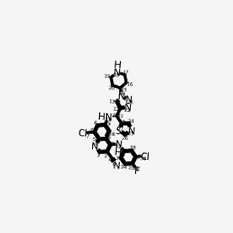 N#Cc1cnc2c(Cl)cc(N[C@H](c3cn(C4CCNCC4)nn3)c3cncs3)cc2c1Nc1ccc(F)c(Cl)c1